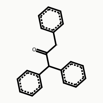 O=C([CH]c1ccccc1)C(c1ccccc1)c1ccccc1